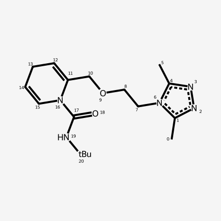 Cc1nnc(C)n1CCOCC1=CCC=CN1C(=O)NC(C)(C)C